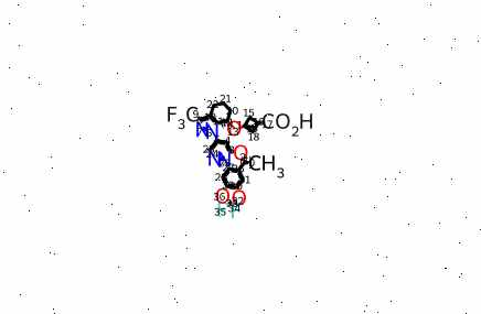 C[C@H](Oc1cc(-n2nc(C(F)(F)F)c3c2[C@H](OC24CC(C(=O)O)(C2)C4)CCC3)cnn1)c1ccc2c(c1)OC(F)(F)O2